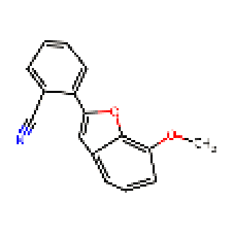 COc1cccc2cc(-c3ccccc3C#N)oc12